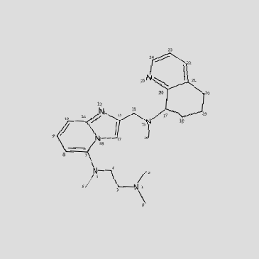 CN(C)CCN(C)c1cccc2nc(CN(C)C3CCCc4cccnc43)cn12